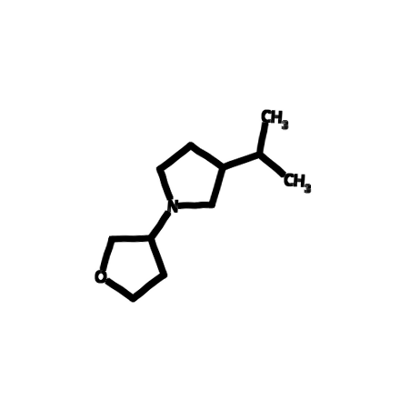 CC(C)C1CCN(C2CCOC2)C1